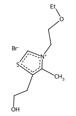 CCOCC[n+]1csc(CCO)c1C.[Br-]